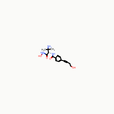 CC(C)(N)[C@H](NC(=O)c1ccc(C#CCCO)cc1)C(=O)NO